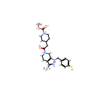 CC(C)(C)OC(=O)N1CCC(CC(=O)N2CCc3c(C(F)(F)F)nn(Cc4ccc(F)cc4)c3C2)CC1